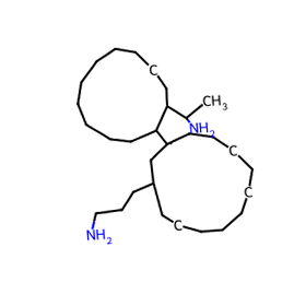 CC(N)C1CCCCCCCCCCC1[C]1CCCCCCCCCCC(CCCN)C1